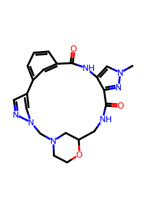 Cn1cc2c(n1)C(=O)NCC1CN(CCO1)Cn1cc(cn1)-c1cccc(c1)C(=O)N2